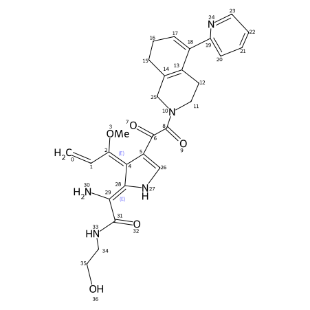 C=C/C(OC)=c1/c(C(=O)C(=O)N2CCC3=C(CCC=C3c3ccccn3)C2)c[nH]/c1=C(/N)C(=O)NCCO